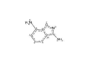 Nc1noc2c(N)cccc12